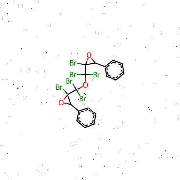 BrC(Br)(OC(Br)(Br)C1(Br)OC1c1ccccc1)C1(Br)OC1c1ccccc1